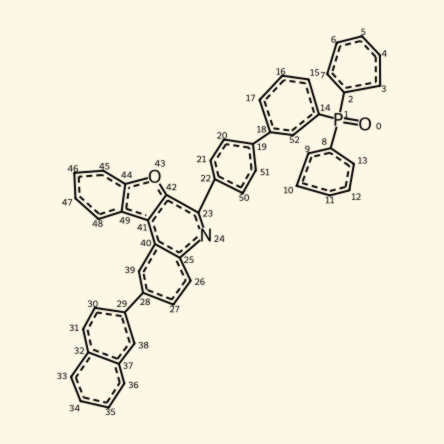 O=P(c1ccccc1)(c1ccccc1)c1cccc(-c2ccc(-c3nc4ccc(-c5ccc6ccccc6c5)cc4c4c3oc3ccccc34)cc2)c1